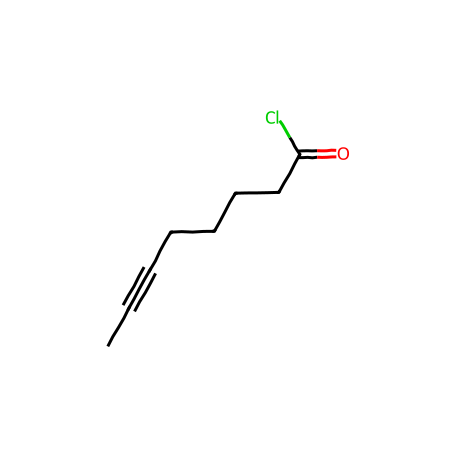 CC#CCCCCC(=O)Cl